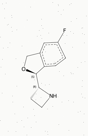 Fc1ccc2c(c1)CO[C@@H]2[C@H]1CCN1